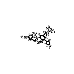 COc1cc(Cn2c(C)nc3c(-c4ccc(F)cc4C)cc(CNC4=NCCN4)cc3c2=O)cc(OC)c1